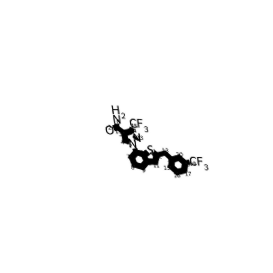 NC(=O)c1cn(-c2cccc3cc(Cc4cccc(C(F)(F)F)c4)sc23)nc1C(F)(F)F